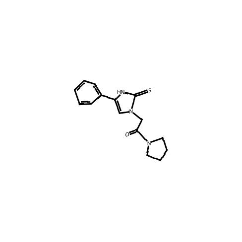 O=C(Cn1cc(-c2ccccc2)[nH]c1=S)N1CCCC1